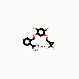 CON=C(C(=O)O)c1ccccc1COc1cc(OCC2CC2(Cl)Cl)c(Cl)cc1Cl